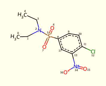 CCN(CC)S(=O)(=O)c1ccc(Cl)c([N+](=O)[O-])c1